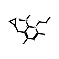 CCCN1C(C)=[C]C(C)=C(CC2CC2)C1N(C)C